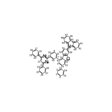 c1ccc(-c2cc(-c3cccc(-c4nc(-c5ccccc5)cc(-c5ccccc5)n4)c3)c3c(c2)oc2cc(-n4c5ccccc5c5ccccc54)ccc23)cc1